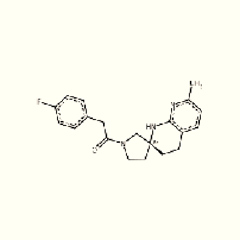 Cc1ccc2c(n1)N[C@]1(CC2)CCN(C(=O)Cc2ccc(F)cc2)C1